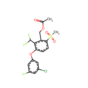 CC(=O)OCc1c(S(C)(=O)=O)ccc(Oc2cc(F)cc(Cl)c2)c1C(F)F